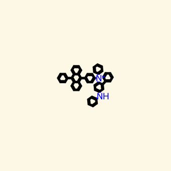 c1ccc(Nc2ccc3c(c2)-c2ccccc2[N+]3(c2ccccc2)c2ccc(-c3c4ccccc4c(-c4ccccc4)c4ccccc34)cc2)cc1